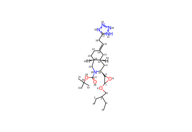 CCC(CC)COC1OC1[C@@H]1C[C@H]2C/C(=C/Cc3nnn[nH]3)CC[C@H]2CN1C(=O)OC(C)(C)C